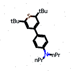 CCCN(CCC)c1ccc(C2=CC(C(C)(C)C)SC(C(C)(C)C)=C2)cc1